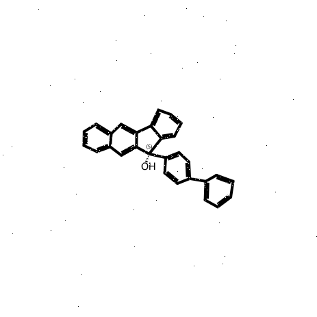 O[C@@]1(c2ccc(-c3ccccc3)cc2)c2ccccc2-c2cc3ccccc3cc21